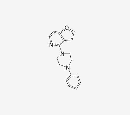 c1ccc(N2CCN(c3nccc4occc34)CC2)cc1